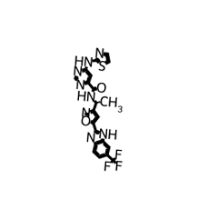 C[C@H](NC(=O)c1cc(Nc2nccs2)ncn1)c1cc(-c2nc3ccc(C(F)(F)F)cc3[nH]2)on1